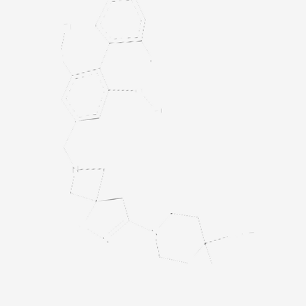 CCOc1cc(CN2CC3(CC(N4CCC(C)(C(=O)O)CC4)=NO3)C2)cc(OCC)c1-c1ccccc1C(F)(F)F